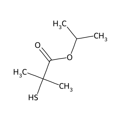 CC(C)OC(=O)C(C)(C)S